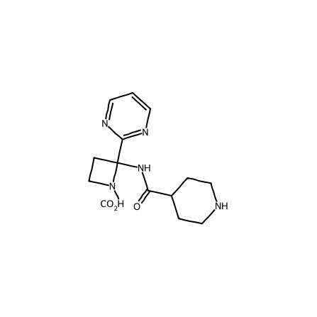 O=C(NC1(c2ncccn2)CCN1C(=O)O)C1CCNCC1